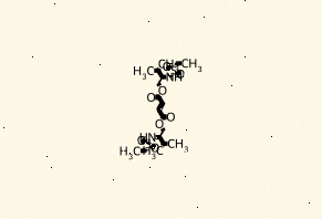 CCS(=O)(=O)N[C@@H](COC(=O)/C=C/C(=O)OC[C@H](NS(=O)(=O)CC)C(C)C)C(C)C